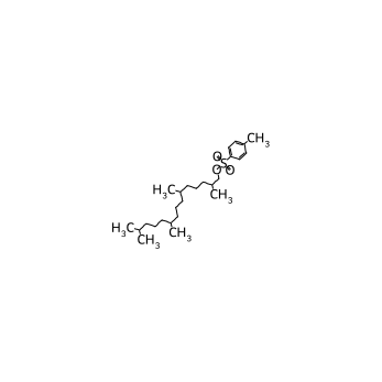 Cc1ccc(S(=O)(=O)OCC(C)CCCC(C)CCCC(C)CCCC(C)C)cc1